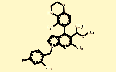 Cc1cc(F)ccc1Cn1ccc2c(-c3ccc4c(c3C)NCCO4)c([C@H](OC(C)(C)C)C(=O)O)c(C)nc21